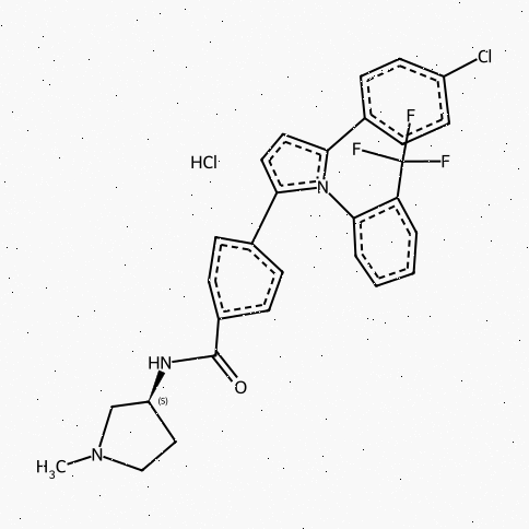 CN1CC[C@H](NC(=O)c2ccc(-c3ccc(-c4ccc(Cl)cc4)n3-c3ccccc3C(F)(F)F)cc2)C1.Cl